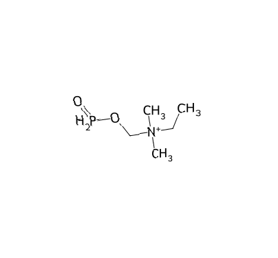 CC[N+](C)(C)CO[PH2]=O